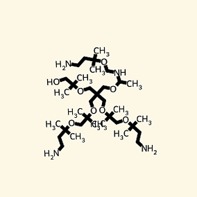 CC(NCOC(C)(C)CCN)OCC(COC(C)(C)CO)(COC(C)(C)COC(C)(C)CCN)COC(C)(C)COC(C)(C)CCN